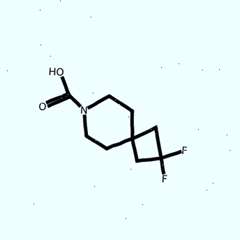 O=C(O)N1CCC2(CC1)CC(F)(F)C2